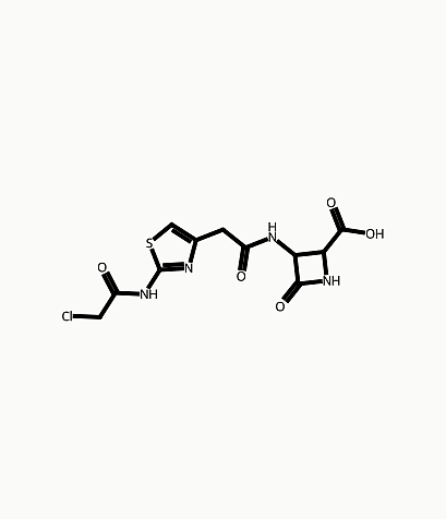 O=C(CCl)Nc1nc(CC(=O)NC2C(=O)NC2C(=O)O)cs1